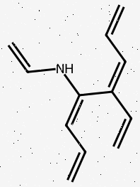 C=C/C=C(C=C)\C(=C/C=C)NC=C